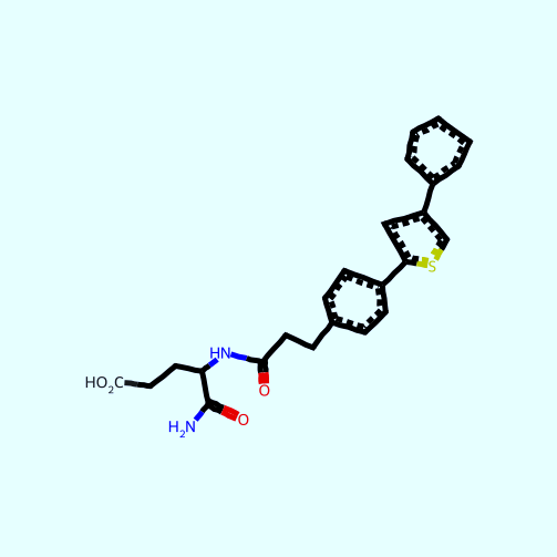 NC(=O)C(CCC(=O)O)NC(=O)CCc1ccc(-c2cc(-c3ccccc3)cs2)cc1